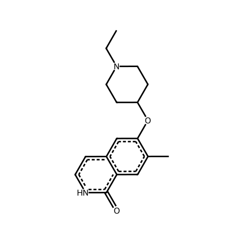 CCN1CCC(Oc2cc3cc[nH]c(=O)c3cc2C)CC1